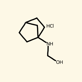 Cl.OCNC12CCC(CC1)C2